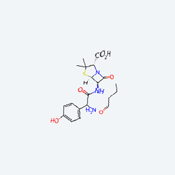 CC1(C)S[C@@H]2[C@H](NC(=O)C(N)c3ccc(O)cc3)C(=O)N2[C@H]1C(=O)O.CCCC=O